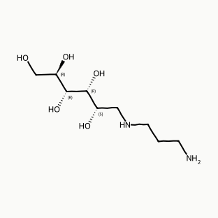 NCCCNC[C@H](O)[C@@H](O)[C@H](O)[C@H](O)CO